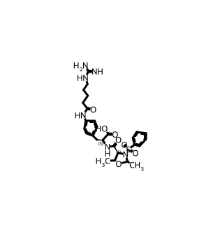 CC1OC(C)N(S(=O)(=O)c2ccccc2)[C@@H]1C(=O)N[C@@H](Cc1ccc(NC(=O)CCCCNC(=N)N)cc1)C(=O)O